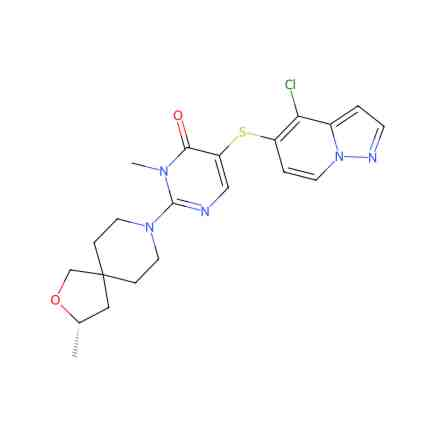 C[C@H]1CC2(CCN(c3ncc(Sc4ccn5nccc5c4Cl)c(=O)n3C)CC2)CO1